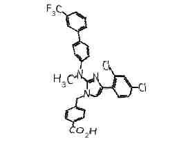 CN(c1ccc(-c2cccc(C(F)(F)F)c2)cc1)c1nc(-c2ccc(Cl)cc2Cl)cn1Cc1ccc(C(=O)O)cc1